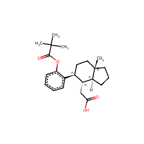 CC(C)(C)C(=O)Oc1ccccc1[C@H]1CC[C@]2(C)CCC[C@H]2[C@@H]1CC(=O)O